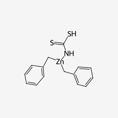 S=C(S)[NH][Zn]([CH2]c1ccccc1)[CH2]c1ccccc1